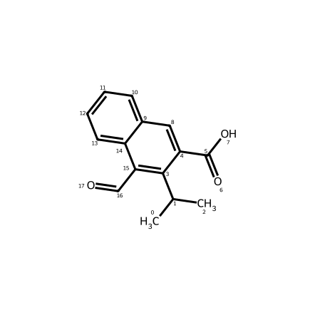 CC(C)c1c(C(=O)O)cc2ccccc2c1C=O